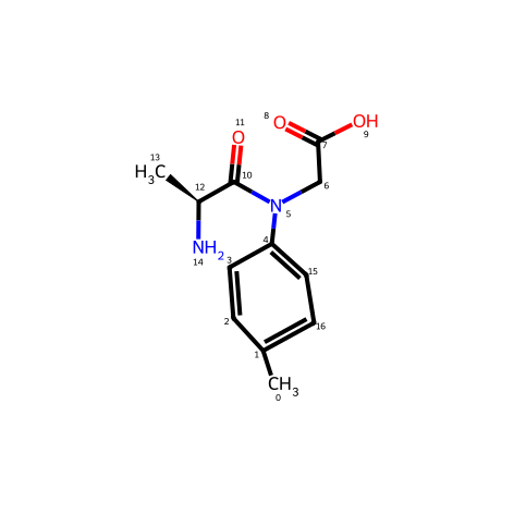 Cc1ccc(N(CC(=O)O)C(=O)[C@H](C)N)cc1